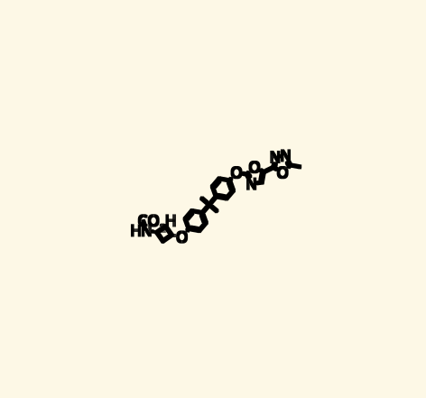 Cc1nnc(-c2cnc(Oc3ccc(C(C)(C)c4ccc(O[C@H]5C[C@H](NC(=O)O)C5)cc4)cc3)o2)o1